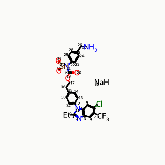 CCc1nc2cc(C(F)(F)F)c(Cl)cc2n1-c1ccc(CCOC(=O)N(c2ccc(CN)cc2)[SH](=O)=O)cc1.[NaH]